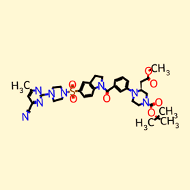 COC(=O)C[C@H]1CN(C(=O)OC(C)(C)C)CCN1c1cccc(C(=O)N2CCc3cc(S(=O)(=O)N4CCN(c5nc(C)cc(C#N)n5)CC4)ccc32)c1